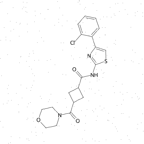 O=C(Nc1nc(-c2ccccc2Cl)cs1)C1CC(C(=O)N2CCOCC2)C1